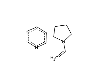 C=CN1CCCC1.c1ccncc1